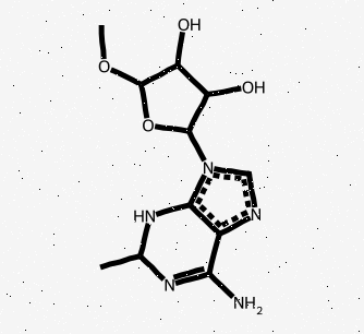 COC1OC(n2cnc3c2NC(C)N=C3N)C(O)C1O